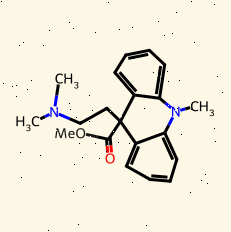 COC(=O)C1(CCN(C)C)c2ccccc2N(C)c2ccccc21